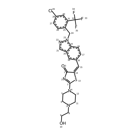 O=C1N=C(N2CCN(CCO)CC2)SC1=Cc1ccc2c(cnn2Cc2ccc(Cl)cc2C(F)(F)F)c1